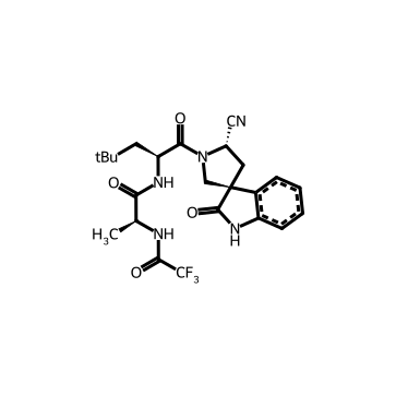 C[C@H](NC(=O)C(F)(F)F)C(=O)N[C@@H](CC(C)(C)C)C(=O)N1C[C@]2(C[C@H]1C#N)C(=O)Nc1ccccc12